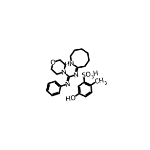 Cc1ccc(O)cc1S(=O)(=O)O.c1ccc(N=C(N=C2CCCCCCN2)N2CCOCC2)cc1